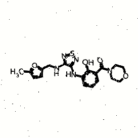 Cc1ccc(CNc2nsnc2Nc2cccc(C(=O)N3CCOCC3)c2O)o1